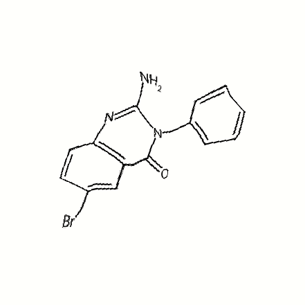 Nc1nc2ccc(Br)cc2c(=O)n1-c1ccccc1